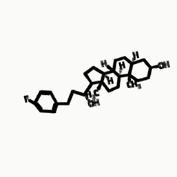 C[C@]12CC[C@H](O)C[C@@H]1CC[C@@H]1[C@@H]2CC[C@]2(C)[C@@H]([C@H](O)CCc3ccc(F)cc3)CC[C@@H]12